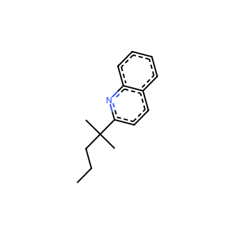 CCCC(C)(C)c1ccc2ccccc2n1